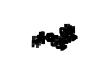 COc1ncnc(C2CC2)c1-c1ncc2c(n1)N(Cc1ccc(-c3nc(C(F)(F)F)cn3C)cc1)C(=O)OC21CC1